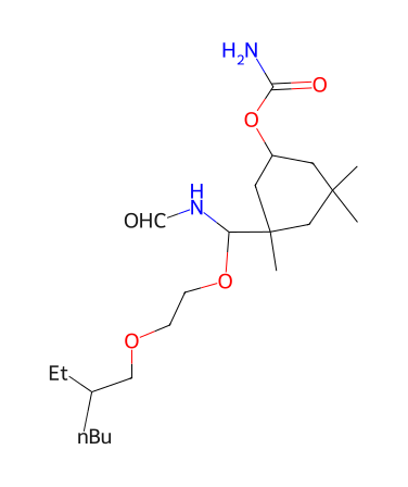 CCCCC(CC)COCCOC(NC=O)C1(C)CC(OC(N)=O)CC(C)(C)C1